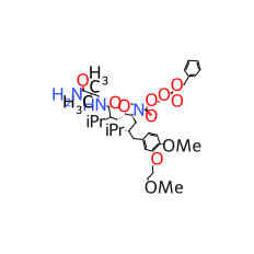 COCCCOc1cc(C[C@@H](C[C@H]2[C@H](C[C@H](C(=O)NCC(C)(C)C(N)=O)C(C)C)OCN2C(=O)OCOC(=O)OCc2ccccc2)C(C)C)ccc1OC